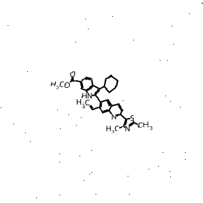 C=Cc1cc2nc(-c3sc(C)nc3C)ccc2cc1-c1[nH]c2cc(C(=O)OC)ccc2c1C1CCCCC1